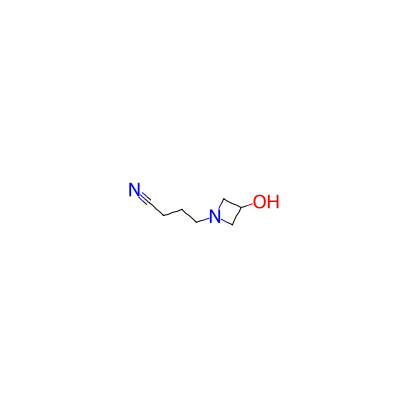 N#CCCCN1CC(O)C1